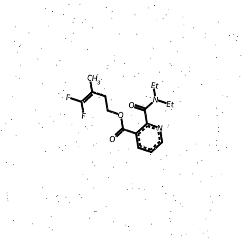 CCN(CC)C(=O)c1ncccc1C(=O)OCCC(C)=C(F)F